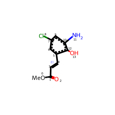 COC(=O)/C=C/c1cc(Cl)cc(N)c1O